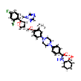 Cc1cc(N2CCN(c3ccc(C(=O)N[C@@H]4CCCCC4O)cc3)CC2)ccc1OC[C@@H]1CO[C@@](Cn2cncn2)(c2ccc(F)cc2F)C1